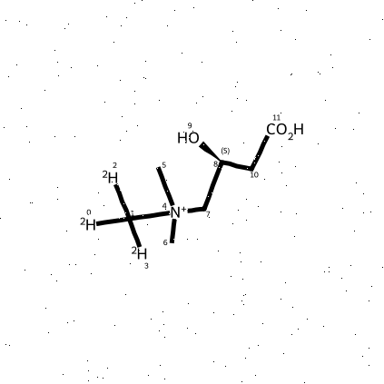 [2H]C([2H])([2H])[N+](C)(C)C[C@@H](O)CC(=O)O